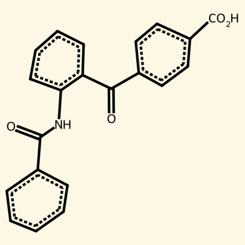 O=C(O)c1ccc(C(=O)c2ccccc2NC(=O)c2ccccc2)cc1